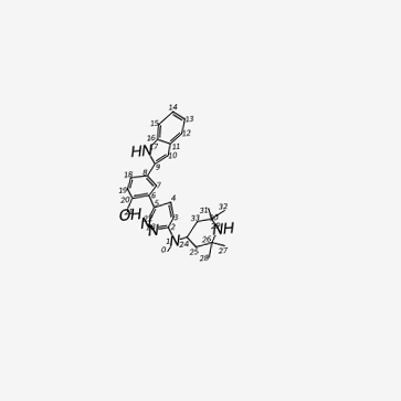 CN(c1ccc(-c2cc(-c3cc4ccccc4[nH]3)ccc2O)nn1)C1CC(C)(C)NC(C)(C)C1